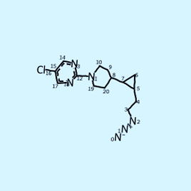 [N-]=[N+]=NCCC1CC1C1CCN(c2ncc(Cl)cn2)CC1